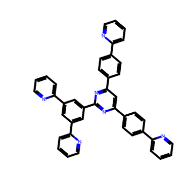 c1ccc(-c2ccc(-c3cc(-c4ccc(-c5ccccn5)cc4)nc(-c4cc(-c5ccccn5)cc(-c5ccccn5)c4)n3)cc2)nc1